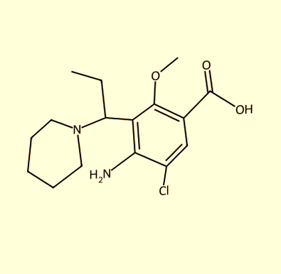 CCC(c1c(N)c(Cl)cc(C(=O)O)c1OC)N1CCCCC1